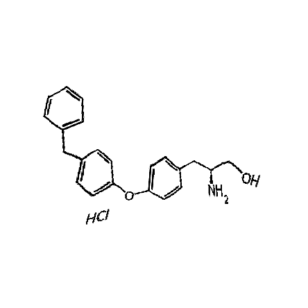 Cl.N[C@H](CO)Cc1ccc(Oc2ccc(Cc3ccccc3)cc2)cc1